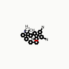 C=CC1=C(/C=C\C)C(c2ccccc2)(c2ccccc2)c2cc(N(c3ccccc3-c3ccccc3)c3cccc4c3-c3ccccc3C4(c3ccc(C#N)cc3)c3ccc(C#N)cc3)ccc21